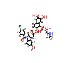 CC(C)(C)NCC(O)COc1cccc2c1C[C@H](O)[C@H](O)C2.COc1ccc2c(c1)c(CC(=O)O)c(C)n2C(=O)c1ccc(Cl)cc1